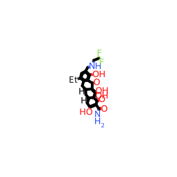 CCc1cc(CNCC(F)F)c(O)c2c1C[C@H]1C[C@H]3CC(O)=C(C(N)=O)C(=O)[C@@]3(O)C(O)=C1C2=O